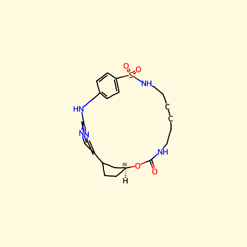 O=C1NCCCCCCNS(=O)(=O)c2ccc(cc2)Nc2ncc(cn2)C2CC[C@@H](C2)O1